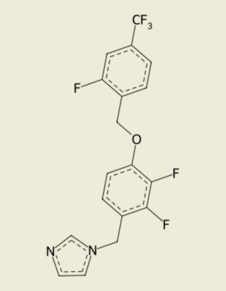 Fc1cc(C(F)(F)F)ccc1COc1ccc(Cn2ccnc2)c(F)c1F